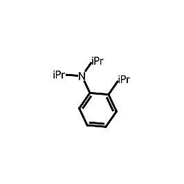 CC(C)c1ccccc1N(C(C)C)C(C)C